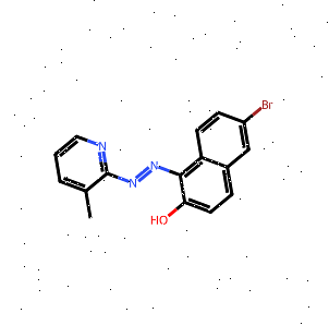 Cc1cccnc1N=Nc1c(O)ccc2cc(Br)ccc12